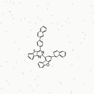 c1ccc2cc(-c3ccc(-c4nc(-c5cc(-c6ccc7ccccc7c6)cc6oc7ccccc7c56)nc5c4sc4ccccc45)cc3)ccc2c1